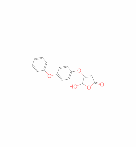 O=C1C=C(Oc2ccc(Oc3ccccc3)cc2)C(O)O1